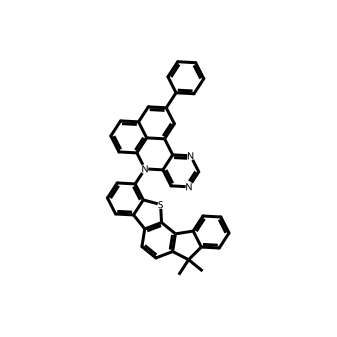 CC1(C)c2ccccc2-c2c1ccc1c2sc2c(N3c4cncnc4-c4cc(-c5ccccc5)cc5cccc3c45)cccc21